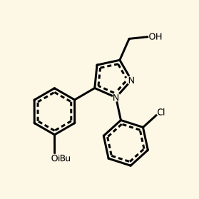 CC(C)COc1cccc(-c2cc(CO)nn2-c2ccccc2Cl)c1